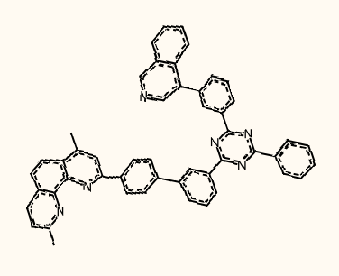 Cc1ccc2ccc3c(C)cc(-c4ccc(-c5cccc(-c6nc(-c7ccccc7)nc(-c7cccc(-c8cncc9ccccc89)c7)n6)c5)cc4)nc3c2n1